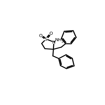 NN1C(Cc2ccccc2)(Cc2ccccc2)CCS1(=O)=O